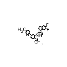 COc1ccc(-c2ccc(C)cn2)cc1NCC(=O)N1CCc2cc(F)c(F)cc21